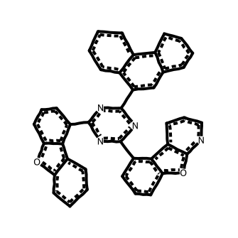 c1ccc2c(c1)cc(-c1nc(-c3cccc4oc5ccccc5c34)nc(-c3cccc4oc5ncccc5c34)n1)c1ccccc12